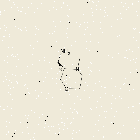 CN1CCOC[C@H]1CN